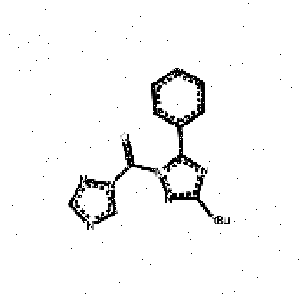 CC(C)(C)c1nc(-c2ccccc2)n(C(=O)n2cncn2)n1